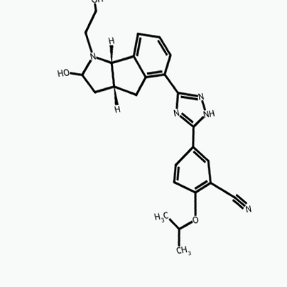 CC(C)Oc1ccc(-c2nc(-c3cccc4c3C[C@@H]3CC(O)N(CCO)[C@H]43)n[nH]2)cc1C#N